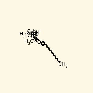 CCCCCCCCCCCCCCc1ccc(OCC(COP(=O)(O)CC[N+](C)(C)C)OC(C)=O)cc1